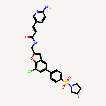 Nc1ccc(/C=C/C(=O)NCc2cc3cc(-c4ccc(S(=O)(=O)N5CC[C@@H](F)C5)cc4)cc(Cl)c3o2)cn1